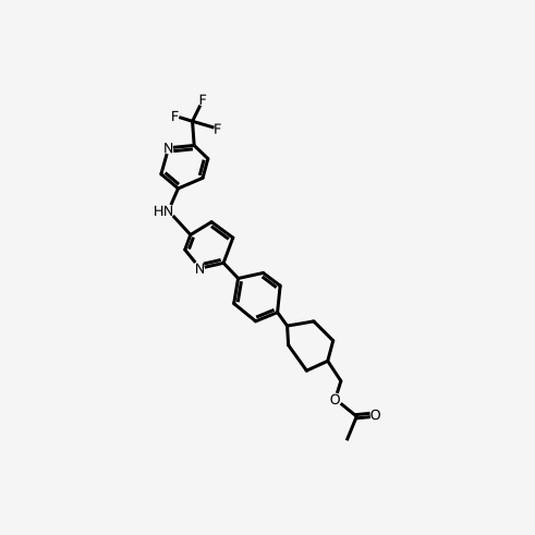 CC(=O)OCC1CCC(c2ccc(-c3ccc(Nc4ccc(C(F)(F)F)nc4)cn3)cc2)CC1